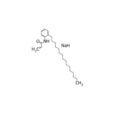 C=CC(=O)Nc1ccccc1CCCCCCCCCCCCCCCC.[NaH]